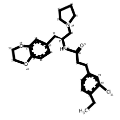 CCc1ccc(CCC(=O)N[C@@H](Cc2ccc3c(c2)OCCO3)CN2CCCC2)cc1Cl